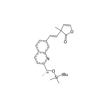 C[C@@H](O[Si](C)(C)C(C)(C)C)c1ccc2ccc(C=CC3(C)C=COC3=O)cc2n1